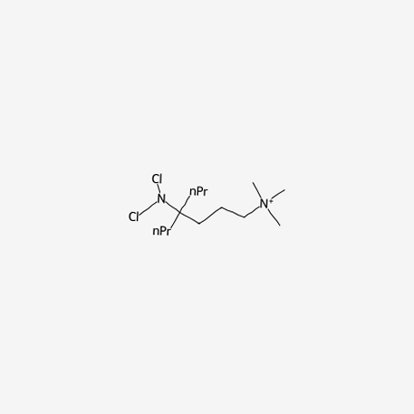 CCCC(CCC)(CCC[N+](C)(C)C)N(Cl)Cl